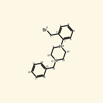 BrCc1ccccc1N1CCN(Cc2ccccc2)CC1